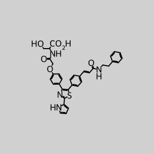 O=C(C=Cc1ccc(-c2sc(-c3ccc[nH]3)nc2-c2ccc(OCC(=O)NC(CO)C(=O)O)cc2)cc1)NCCc1ccccc1